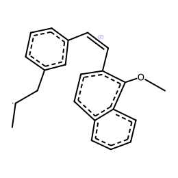 C[CH]Cc1cccc(/C=C\c2ccc3ccccc3c2OC)c1